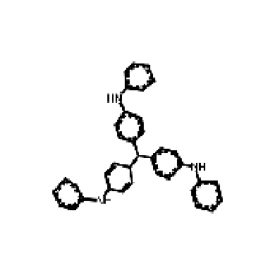 C1=CC(C(c2ccc(Nc3ccccc3)cc2)c2ccc(Nc3ccccc3)cc2)C=CC1Nc1ccccc1